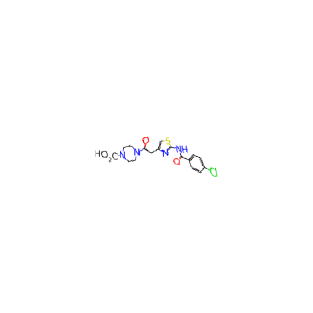 O=C(Nc1nc(CC(=O)N2CCN(C(=O)O)CC2)cs1)c1ccc(Cl)cc1